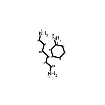 NC1CCCCC1.NCCCCCCN